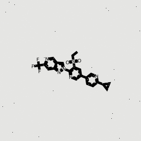 CCS(=O)(=O)c1cc(-c2ccc(C3CC3)nc2)cnc1-n1cc2cnc(C(F)(F)F)cc2n1